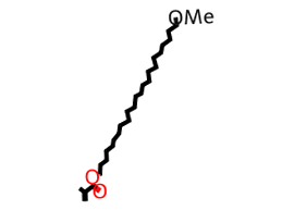 C=C(C)C(=O)OCCCCCCCCCCCCCCCCCCCCCCCOC